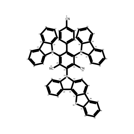 N#Cc1ccc(-c2c(-n3c4ccccc4c4ccccc43)c(C#N)c(-n3c4ccccc4c4c5sc6ccccc6c5ccc43)c(C#N)c2-n2c3ccccc3c3ccccc32)cc1